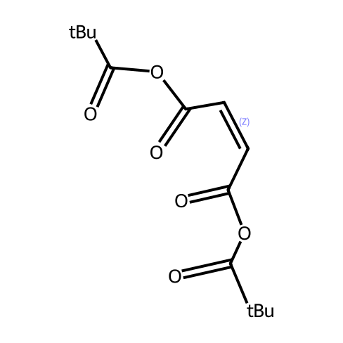 CC(C)(C)C(=O)OC(=O)/C=C\C(=O)OC(=O)C(C)(C)C